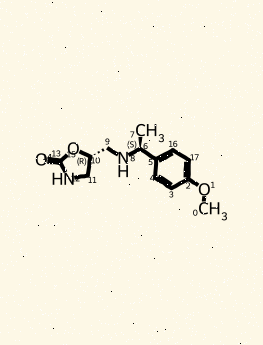 COc1ccc([C@H](C)NC[C@@H]2CNC(=O)O2)cc1